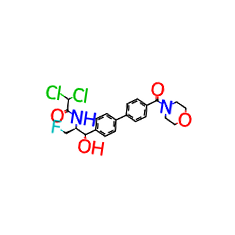 O=C(N[C@H](CF)[C@H](O)c1ccc(-c2ccc(C(=O)N3CCOCC3)cc2)cc1)C(Cl)Cl